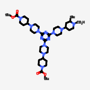 CC(C)(C)OC(=O)N1CCC(N2CCN(c3nc(N4CCN(C5CCN(C(=O)OC(C)(C)C)CC5)CC4)nc(N4CCN(C5CCN(C(=O)O)C(C(C)(C)C)C5)CC4)n3)CC2)CC1